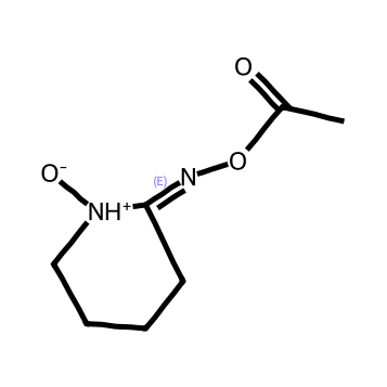 CC(=O)O/N=C1\CCCC[NH+]1[O-]